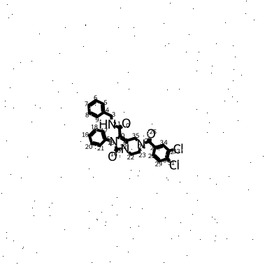 O=C(NCc1ccccc1)c1c2n(c(=O)n1-c1ccccc1)CCN(C(=O)c1ccc(Cl)c(Cl)c1)C2